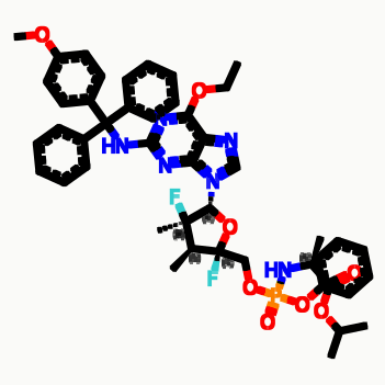 CCOc1nc(NC(c2ccccc2)(c2ccccc2)c2ccc(OC)cc2)nc2c1ncn2[C@@H]1O[C@](F)(COP(=O)(N[C@@H](C)C(=O)OC(C)C)Oc2ccccc2)[C@@H](C)[C@@]1(C)F